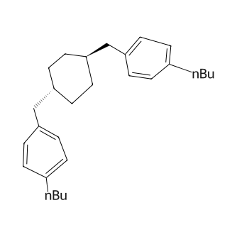 CCCCc1ccc(C[C@H]2CC[C@H](Cc3ccc(CCCC)cc3)CC2)cc1